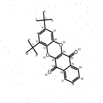 CC(C)(C)c1cc(C(C)(C)C)c2oc3c(=O)c4ccccc4c(=O)c=3oc2c1